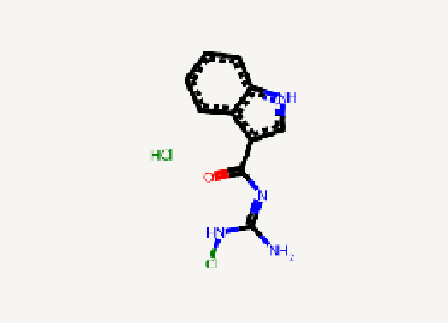 Cl.NC(=NC(=O)c1c[nH]c2ccccc12)NCl